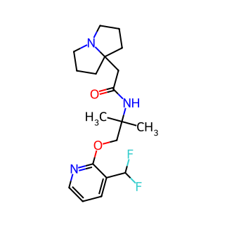 CC(C)(COc1ncccc1C(F)F)NC(=O)CC12CCCN1CCC2